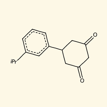 CC(C)c1cccc(C2CC(=O)CC(=O)C2)c1